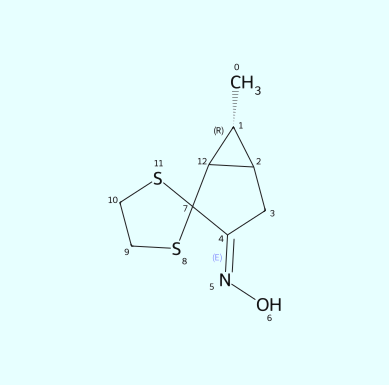 C[C@@H]1C2C/C(=N\O)C3(SCCS3)C21